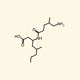 CCCC(C)CC(CC(=O)O)NC(=O)CCC(C)CN